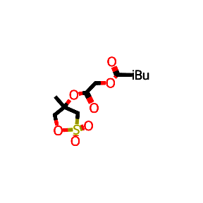 CCC(C)C(=O)OCC(=O)OC1(C)COS(=O)(=O)C1